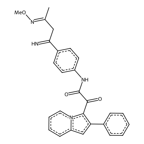 CON=C(C)CC(=N)c1ccc(NC(=O)C(=O)c2c(-c3ccccc3)cc3ccccn23)cc1